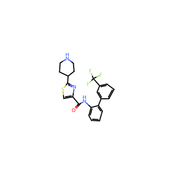 O=C(Nc1ccccc1-c1cccc(C(F)(F)F)c1)c1csc(C2CCNCC2)n1